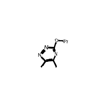 Cc1nnc(OC(C)C)nc1C